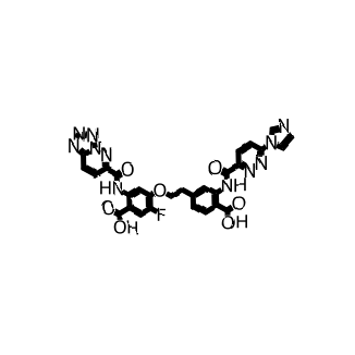 O=C(Nc1cc(CCOc2cc(NC(=O)c3ccc4nnnn4n3)c(C(=O)O)cc2F)ccc1C(=O)O)c1ccc(-n2ccnc2)nn1